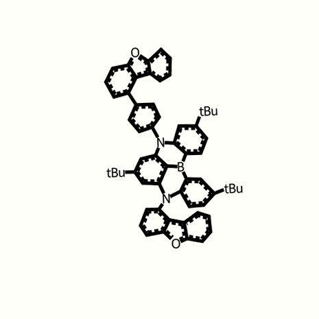 CC(C)(C)c1ccc2c(c1)B1c3ccc(C(C)(C)C)cc3N(c3ccc(-c4cccc5oc6ccccc6c45)cc3)c3cc(C(C)(C)C)cc(c31)N2c1cccc2oc3ccccc3c12